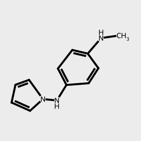 CNc1ccc(Nn2cccc2)cc1